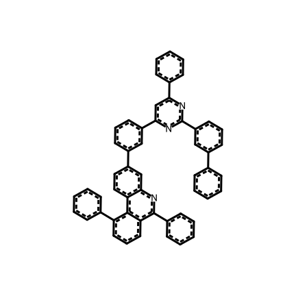 c1ccc(-c2cccc(-c3nc(-c4ccccc4)cc(-c4cccc(-c5ccc6c(c5)nc(-c5ccccc5)c5cccc(-c7ccccc7)c56)c4)n3)c2)cc1